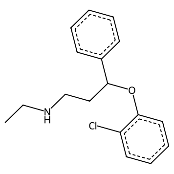 CCNCCC(Oc1ccccc1Cl)c1ccccc1